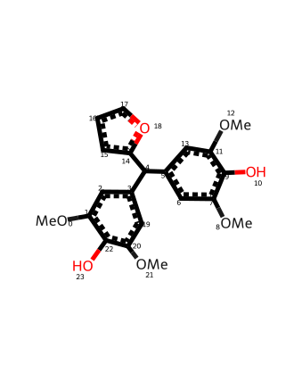 COc1cc(C(c2cc(OC)c(O)c(OC)c2)c2ccco2)cc(OC)c1O